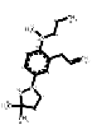 C=CCc1cc(B2CCC(C)(C)O2)ccc1N(C)CCC